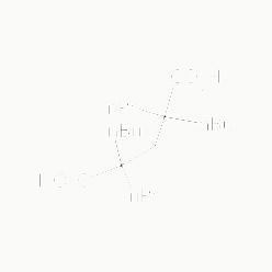 CCCCC(CCC)(CC(CCC)(CCCC)C(=O)O)C(=O)O